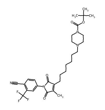 CC1=C(CCCCCCCN2CCN(C(=O)OC(C)(C)C)CC2)C(=O)N(c2ccc(C#N)c(C(F)(F)F)c2)C1=O